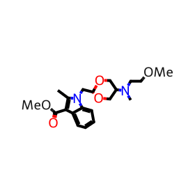 COCCN(C)C1COC(Cn2c(C)c(C(=O)OC)c3ccccc32)OC1